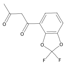 CC(=O)CC(=O)c1cccc2c1OC(F)(F)O2